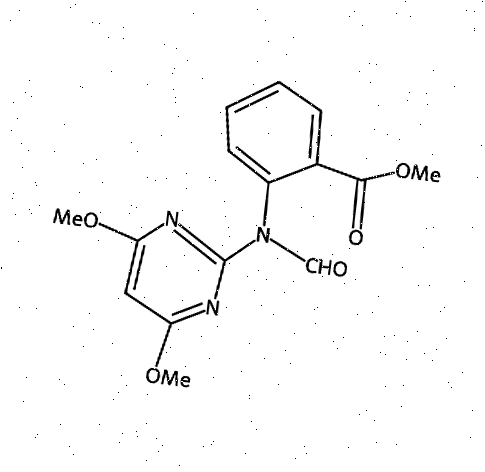 COC(=O)c1ccccc1N(C=O)c1nc(OC)cc(OC)n1